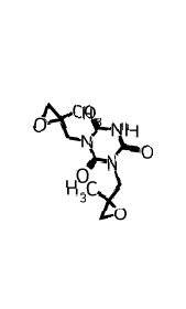 CC1(Cn2c(=O)[nH]c(=O)n(CC3(C)CO3)c2=O)CO1